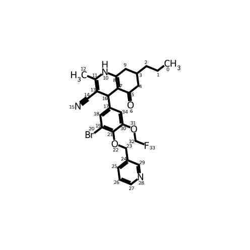 CCCC1CC(=O)C2=C(C1)NC(C)=C(C#N)C2c1cc(Br)c(OCc2cccnc2)c(OCF)c1